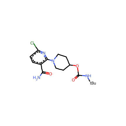 CC(C)(C)NC(=O)OC1CCN(c2nc(Cl)ccc2C(N)=O)CC1